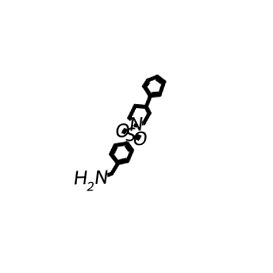 NCc1ccc(S(=O)(=O)N2CCC(c3ccccc3)CC2)cc1